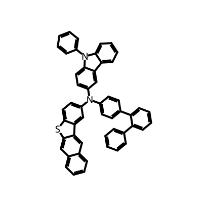 c1ccc(-c2ccccc2-c2ccc(N(c3ccc4sc5cc6ccccc6cc5c4c3)c3ccc4c(c3)c3ccccc3n4-c3ccccc3)cc2)cc1